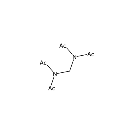 CC(=O)N(CN(C(C)=O)C(C)=O)C(C)=O